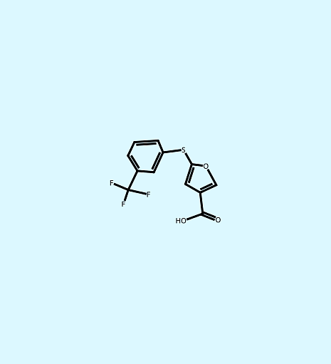 O=C(O)c1coc(Sc2cccc(C(F)(F)F)c2)c1